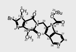 Cn1c(Br)nc2c1c(=O)n(Cc1cc3cnccc3n1C(=O)OC(C)(C)C)c(=O)n2C